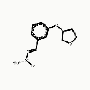 CC(C)(C)[S@@+]([O-])N=Cc1cccc(O[C@H]2CCOC2)c1